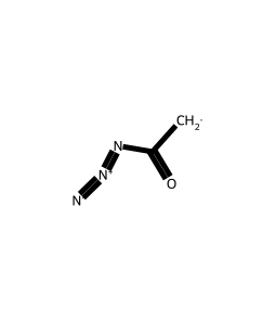 [CH2]C(=O)N=[N+]=[N-]